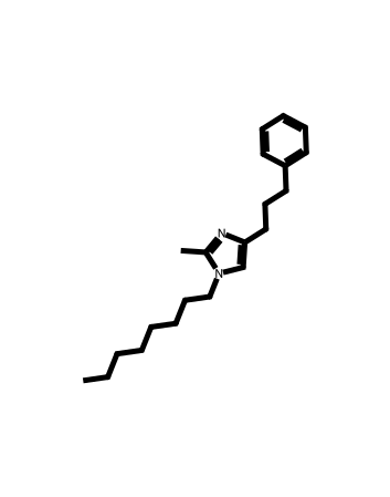 CCCCCCCCn1cc(CCCc2ccccc2)nc1C